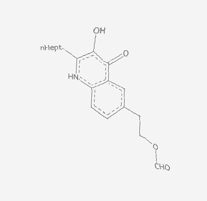 CCCCCCCc1[nH]c2ccc(CCOC=O)cc2c(=O)c1O